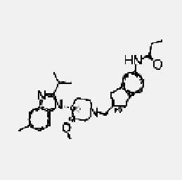 CCC(=O)Nc1ccc2c(c1)C[C@H](CN1CC[C@@H](n3c(C(C)C)nc4cc(C)ccc43)[C@@H](OC)C1)C2